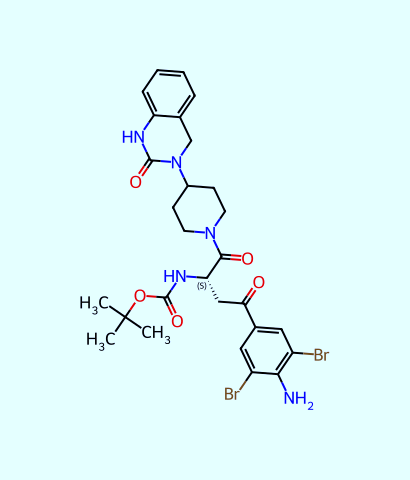 CC(C)(C)OC(=O)N[C@@H](CC(=O)c1cc(Br)c(N)c(Br)c1)C(=O)N1CCC(N2Cc3ccccc3NC2=O)CC1